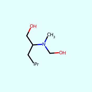 CC(C)CC(CO)N(C)CO